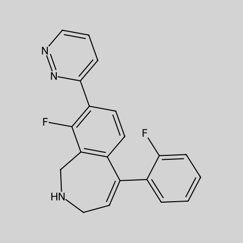 Fc1ccccc1C1=CCNCc2c1ccc(-c1cccnn1)c2F